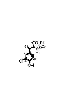 CCCNC(C(=O)OCC)C(=O)c1cnc(O)c(Cl)c1